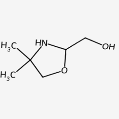 CC1(C)COC(CO)N1